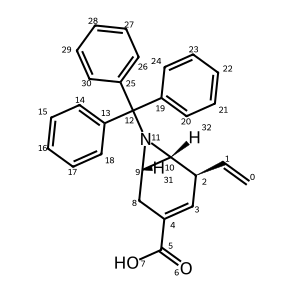 C=C[C@H]1C=C(C(=O)O)C[C@H]2[C@@H]1N2C(c1ccccc1)(c1ccccc1)c1ccccc1